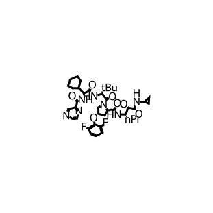 CCC[C@H](NC(=O)C1C[C@@H](Oc2c(F)cccc2F)CN1C(=O)[C@@H](NC(=O)[C@@H](NC(=O)c1cnccn1)C1CCCCC1)C(C)(C)C)C(=O)C(=O)NC1CC1